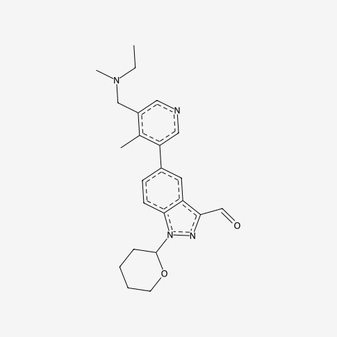 CCN(C)Cc1cncc(-c2ccc3c(c2)c(C=O)nn3C2CCCCO2)c1C